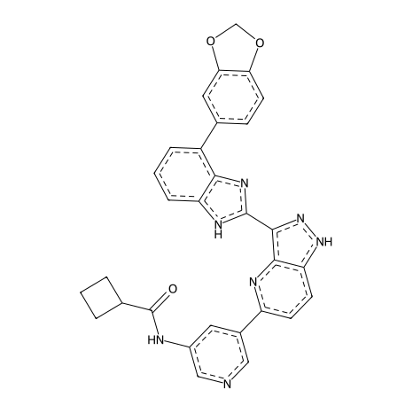 O=C(Nc1cncc(-c2ccc3[nH]nc(-c4nc5c(-c6ccc7c(c6)OCO7)cccc5[nH]4)c3n2)c1)C1CCC1